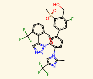 Cc1nc(C(F)(F)F)cn1-c1ccc(-c2cc(F)c(CO)c(S(C)(=O)=O)c2)cc1-n1nncc1-c1c(C=O)cccc1C(F)(F)F